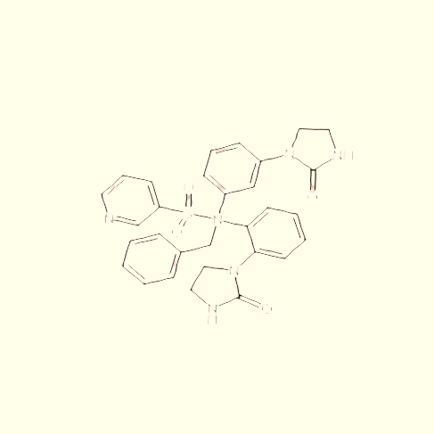 O=C1NCCN1c1cccc([N+](Cc2ccccc2)(c2ccccc2N2CCNC2=O)S(=O)(=O)c2cccnc2)c1